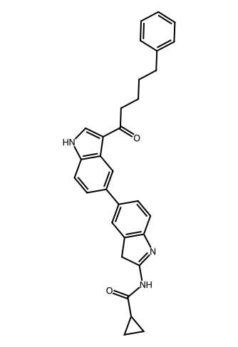 O=C(CCCCc1ccccc1)c1c[nH]c2ccc(-c3ccc4c(c3)CC(NC(=O)C3CC3)=N4)cc12